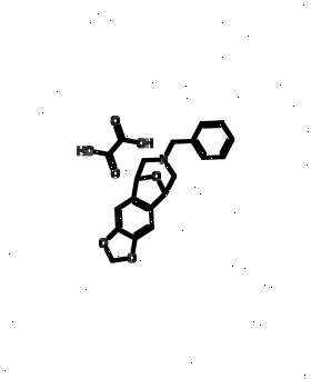 O=C(O)C(=O)O.c1ccc(CN2CC3OC(C2)c2cc4c(cc23)OCO4)cc1